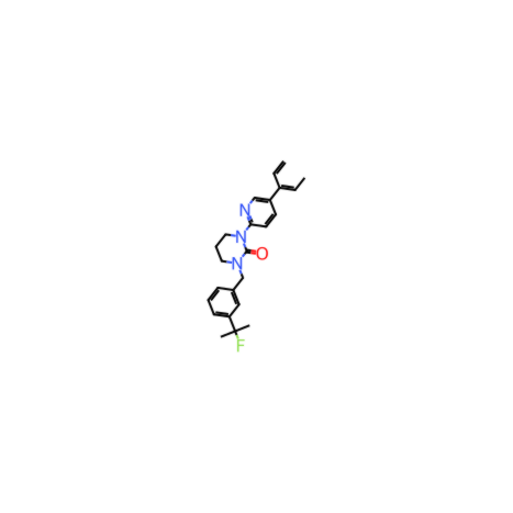 C=C/C(=C\C)c1ccc(N2CCCN(Cc3cccc(C(C)(C)F)c3)C2=O)nc1